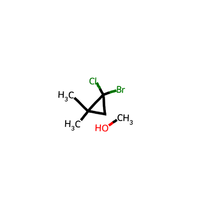 CC1(C)CC1(Cl)Br.CO